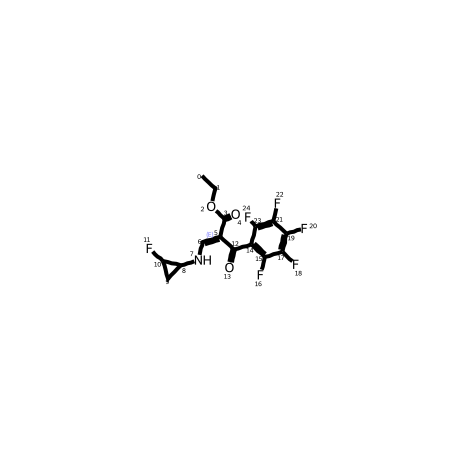 CCOC(=O)/C(=C/NC1CC1F)C(=O)c1c(F)c(F)c(F)c(F)c1F